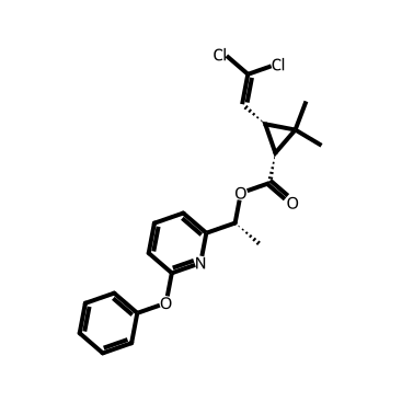 C[C@@H](OC(=O)[C@@H]1[C@H](C=C(Cl)Cl)C1(C)C)c1cccc(Oc2ccccc2)n1